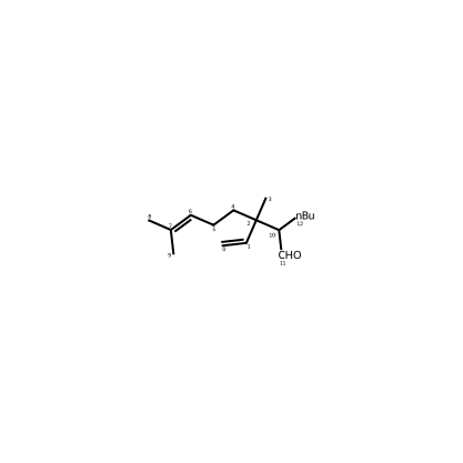 C=CC(C)(CCC=C(C)C)C(C=O)CCCC